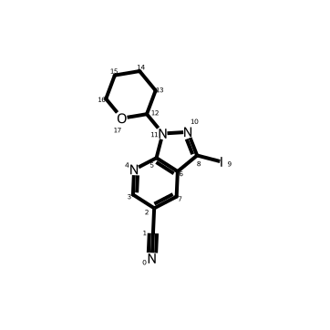 N#Cc1cnc2c(c1)c(I)nn2C1CCCCO1